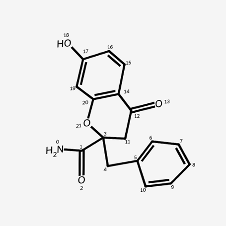 NC(=O)C1(Cc2ccccc2)CC(=O)c2ccc(O)cc2O1